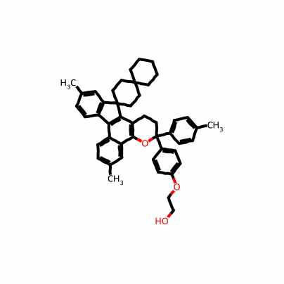 Cc1ccc(C2(c3ccc(OCCO)cc3)CCc3c4c(c5ccc(C)cc5c3O2)-c2ccc(C)cc2C42CCC3(CCCCC3)CC2)cc1